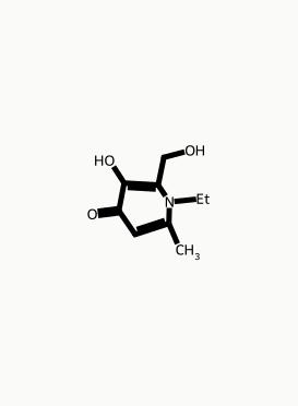 CCn1c(C)cc(=O)c(O)c1CO